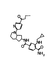 CCCC(=O)c1ccc(N2CCCC3CC(NC(=O)c4ccc(C(N)=O)c(NCC5CC5)c4)CC32)nc1